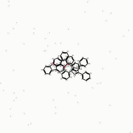 c1ccc(-c2nnc(-c3cccc4c5ccccc5n(-c5ccccc5-c5ccccc5-n5c6ccccc6c6c7sc8ccccc8c7ccc65)c34)n2-c2ccccc2)cc1